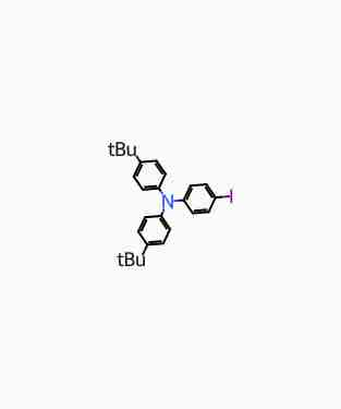 CC(C)(C)c1ccc(N(c2ccc(I)cc2)c2ccc(C(C)(C)C)cc2)cc1